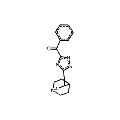 O=C(c1ccccc1)c1nsc(C2CN3CCC2CC3)n1